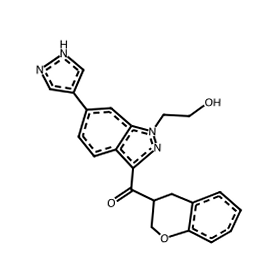 O=C(c1nn(CCO)c2cc(-c3cn[nH]c3)ccc12)C1COc2ccccc2C1